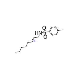 CCCCC/C=C/CNS(=O)(=O)c1ccc(C)cc1